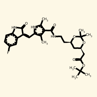 Cc1[nH]c(/C=C2\C(=O)Nc3ccc(F)cc32)c(C)c1C(=O)NCC[C@@H]1C[C@H](CC(=O)OC(C)(C)C)OC(C)(C)O1